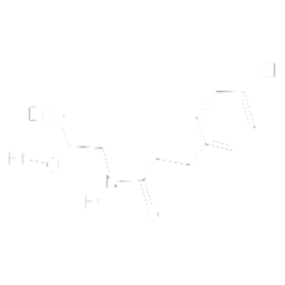 CCOC(CN(CC)C(=O)[CH]Cc1ccc(Cl)cc1)OCC